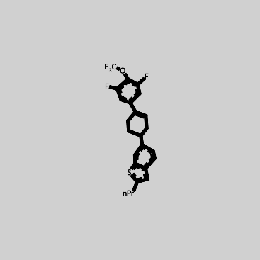 CCCc1cc2ccc(C3CC=C(c4cc(F)c(OC(F)(F)F)c(F)c4)CC3)cc2s1